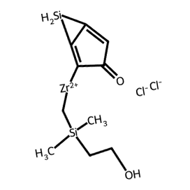 C[Si](C)(CCO)[CH2][Zr+2][C]1=C2[SiH2]C2=CC1=O.[Cl-].[Cl-]